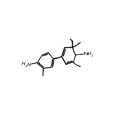 CC1=CC(c2ccc(N)c(C)c2)=CC(C)(C)C1N